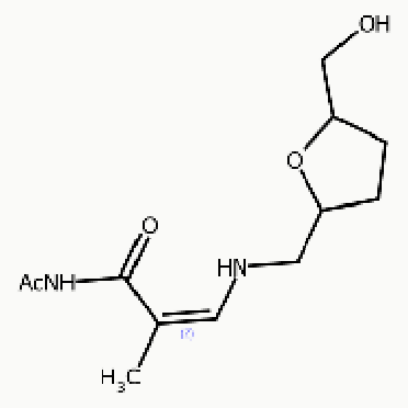 CC(=O)NC(=O)/C(C)=C\NCC1CCC(CO)O1